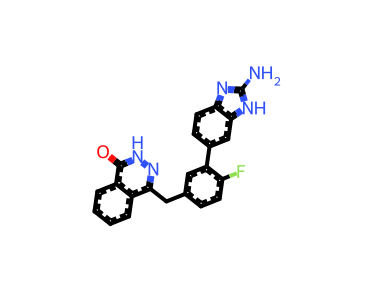 Nc1nc2ccc(-c3cc(Cc4n[nH]c(=O)c5ccccc45)ccc3F)cc2[nH]1